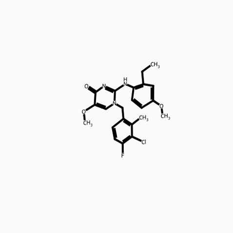 CCc1cc(OC)ccc1Nc1nc(=O)c(OC)cn1Cc1ccc(F)c(Cl)c1C